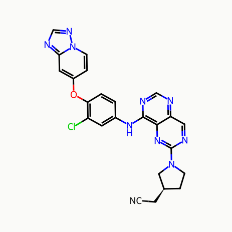 N#CC[C@@H]1CCN(c2ncc3ncnc(Nc4ccc(Oc5ccn6ncnc6c5)c(Cl)c4)c3n2)C1